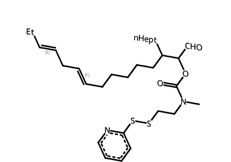 CC/C=C/C/C=C/CCCCCC(CCCCCCC)C(C=O)OC(=O)N(C)CCSSc1ccccn1